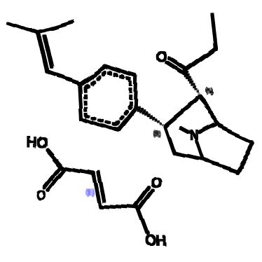 CCC(=O)[C@@H]1C2CCC(C[C@@H]1c1ccc(C=C(C)C)cc1)N2C.O=C(O)/C=C/C(=O)O